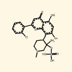 BC1(OP(=O)(O)O)CN(C)CCC1c1c(O)cc(O)c2c(=O)cc(-c3ccccc3Cl)oc12